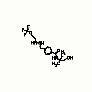 CC(C)(CO)NC(=O)c1ccc(CNNCCOC(F)(F)F)cc1